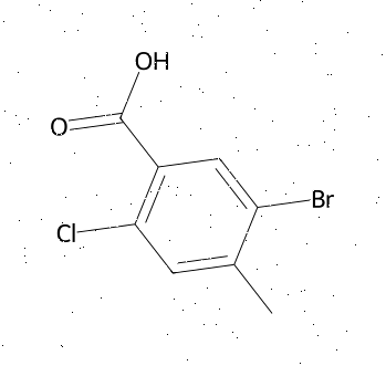 Cc1cc(Cl)c(C(=O)O)cc1Br